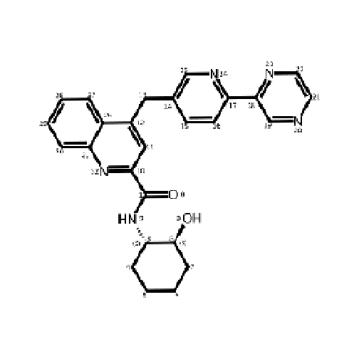 O=C(N[C@H]1CCCC[C@@H]1O)c1cc(Cc2ccc(-c3cnccn3)nc2)c2ccccc2n1